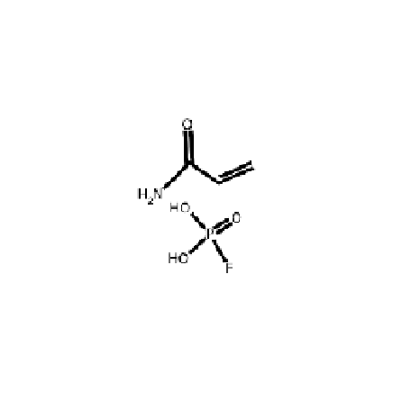 C=CC(N)=O.O=P(O)(O)F